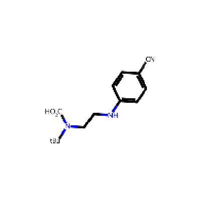 CC(C)(C)N(CCNc1ccc(C#N)cc1)C(=O)O